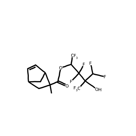 CC1(C(=O)OC(C(F)(F)F)C(F)(F)C(O)(C(F)F)C(F)(F)F)CC2C=CC1C2